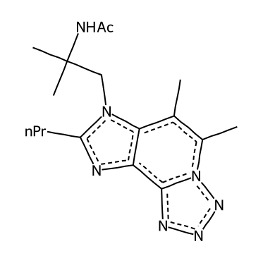 CCCc1nc2c(c(C)c(C)n3nnnc23)n1CC(C)(C)NC(C)=O